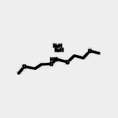 COCC[O][AlH][O]CCOC.[NaH].[NaH]